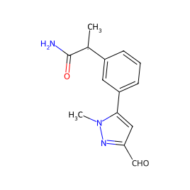 C[C](C(N)=O)c1cccc(-c2cc(C=O)nn2C)c1